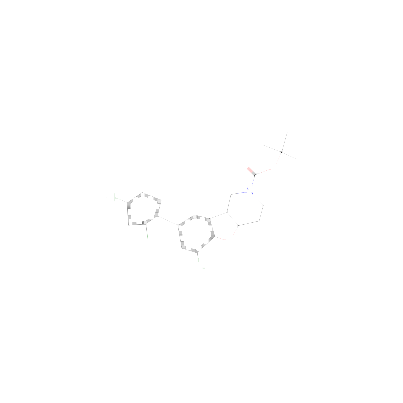 CC(C)(C)OC(=O)N1CCC2Oc3c(Br)cc(-c4ccc(Cl)cc4Cl)cc3C2C1